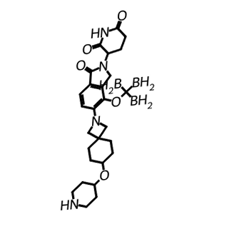 BC(B)(B)Oc1c(N2CC3(CCC(OC4CCNCC4)CC3)C2)ccc2c1CN(C1CCC(=O)NC1=O)C2=O